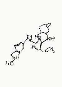 Cc1cnc(Nc2ccc3c(c2)OB(O)C3)nc1NC1COCCC1C#N